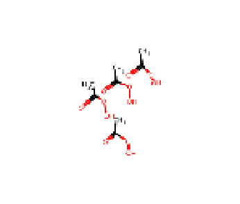 CC(=O)OO.CC(=O)OO.CC(=O)OO.CC(=O)OO